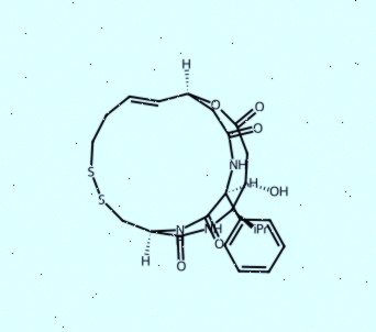 CC(C)[C@H]1NC(=O)[C@H]2CSSCC/C=C/[C@H](CC(=O)N[C@@H](c3ccccc3)C(=O)N2)OC(=O)C[C@@H]1O